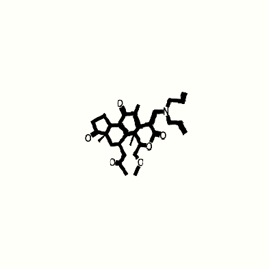 C=CCN(/C=C1\C(=O)OC(COC)[C@@]2(C)C1=C(C)C(=O)C1=C2C(CC(C)=O)C[C@]2(C)C(=O)CCC12)CC=C